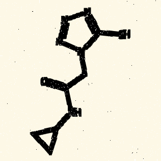 O=C(Cn1nnnc1S)NC1CC1